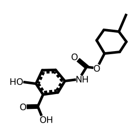 CC1CCC(OC(=O)Nc2ccc(O)c(C(=O)O)c2)CC1